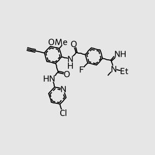 C#Cc1cc(OC)c(NC(=O)c2ccc(C(=N)N(C)CC)cc2F)c(C(=O)Nc2ccc(Cl)cn2)c1